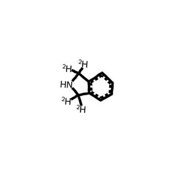 [2H]C1([2H])NC([2H])([2H])c2ccccc21